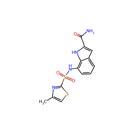 Cc1csc(S(=O)(=O)Nc2cccc3cc(C(N)=O)[nH]c23)n1